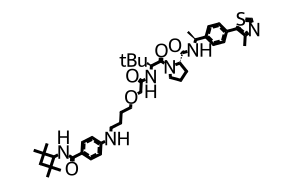 Cc1ncsc1-c1ccc([C@H](C)NC(=O)[C@@H]2CCCN2C(=O)[C@@H](NC(=O)COCCCCNc2ccc(C(=O)NC3C(C)(C)CC3(C)C)cc2)C(C)(C)C)cc1